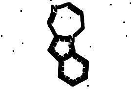 C1=CN=Cc2cc3ccccc3n2C1